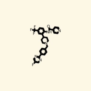 O=C(Nc1ccc(C(F)(F)F)cc1C1CCN(Cc2ccc(-c3ncc(F)cn3)cc2)CC1)c1ccncc1